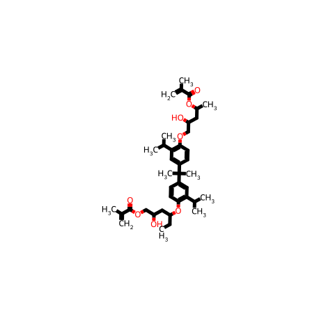 C=C(C)C(=O)OCC(O)CC(CC)Oc1ccc(C(C)(C)c2ccc(OCC(O)CC(C)OC(=O)C(=C)C)c(C(C)C)c2)cc1C(C)C